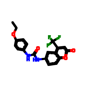 CCOc1ccc(NC(=O)Nc2ccc3oc(=O)cc(C(F)(F)F)c3c2)cc1